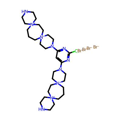 Clc1nc(N2CC[N+]3(CCC[N+]4(CCNCC4)CC3)CC2)cc(N2CC[N+]3(CCC[N+]4(CCNCC4)CC3)CC2)n1.[Br-].[Br-].[Br-].[Br-]